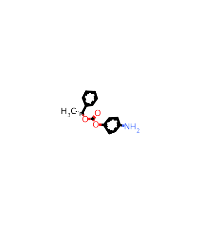 C[C@@H](OC(=O)Oc1ccc(N)cc1)c1ccccc1